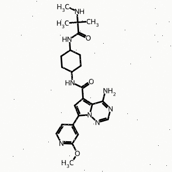 CNC(C)(C)C(=O)NC1CCC(NC(=O)c2cc(-c3ccnc(OC)c3)n3ncnc(N)c23)CC1